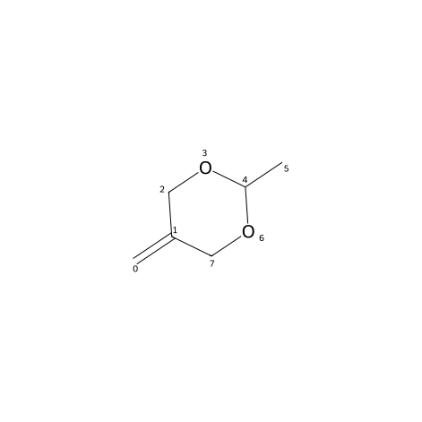 C=C1COC(C)OC1